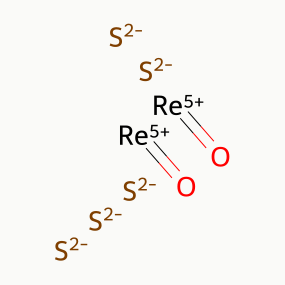 [O]=[Re+5].[O]=[Re+5].[S-2].[S-2].[S-2].[S-2].[S-2]